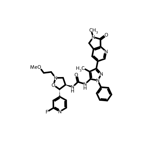 COCCN1C[C@@H](NC(=O)Nc2c(C)c(-c3cnc4c(c3)CN(C)C4=O)nn2-c2ccccc2)[C@H](c2ccnc(F)c2)O1